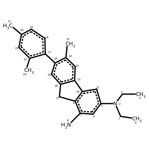 CCN(CC)c1cc(N)c2c(c1)-c1cc(C)c(-c3ccc(C)cc3C)cc1C2